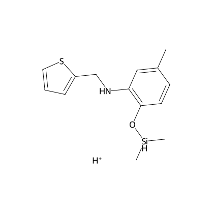 Cc1ccc(O[SiH](C)C)c(NCc2cccs2)c1.[H+]